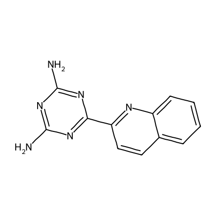 Nc1nc(N)nc(-c2ccc3ccccc3n2)n1